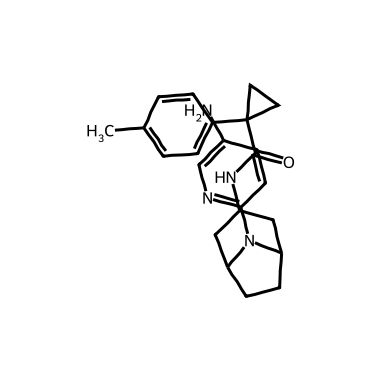 Cc1ccc(C2(C(=O)NC3CC4CCC(C3)N4c3ccc(N)cn3)CC2)cc1